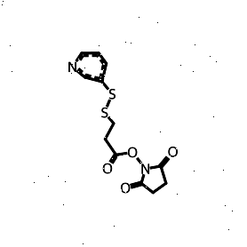 O=C(CCSSc1cccnc1)ON1C(=O)CCC1=O